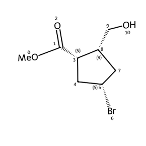 COC(=O)[C@H]1C[C@@H](Br)C[C@H]1CO